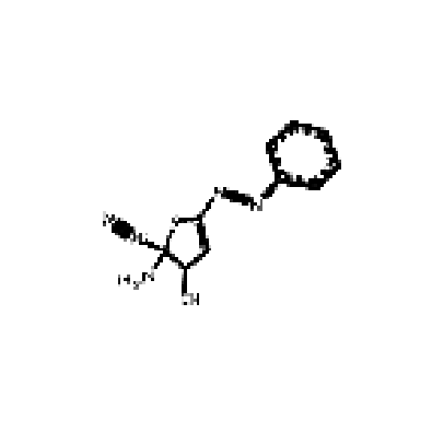 N#CC1C=C(N=Nc2ccccc2)SC1(N)[N+]#N